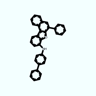 c1ccc(-c2ccc(Nc3cccc4c3oc3c(-c5ccccc5)cc5ccccc5c34)cc2)cc1